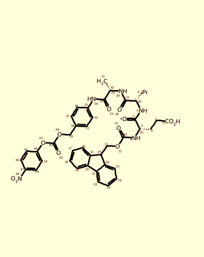 CC(C)[C@H](NC(=O)[C@H](CCC(=O)O)NC(=O)OCC1c2ccccc2-c2ccccc21)C(=O)N[C@@H](C)C(=O)Nc1ccc(COC(=O)Oc2ccc([N+](=O)[O-])cc2)cc1